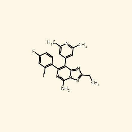 CCc1nc2c(-c3cc(C)nc(C)c3)c(-c3ccc(F)cc3F)nc(N)n2n1